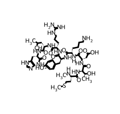 CN[C@@H](CCSC)C(=O)N[C@@H](C(=O)N[C@@H](CC(=O)O)C(=O)N[C@@H](CCCCN)C(=O)N[C@@H](Cc1ccc(O)cc1)C(=O)N[C@@H](CCCNC(=N)N)C(=O)N[C@@H](CC(C)C)C(=O)N[C@@H](Cc1cnc[nH]1)C(N)=O)[C@@H](C)O